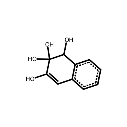 OC1=Cc2ccccc2C(O)C1(O)O